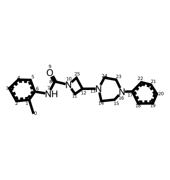 Cc1ccccc1NC(=O)N1CC(N2CCN(c3ccccc3)CC2)C1